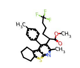 COC(=O)C(CCCC(F)(F)F)c1c(C)nc2sc3c(c2c1-c1ccc(C)cc1)CCCC3